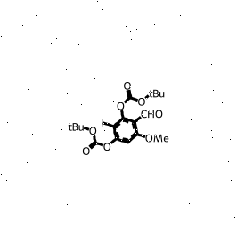 COc1cc(OC(=O)OC(C)(C)C)c(I)c(OC(=O)OC(C)(C)C)c1C=O